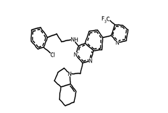 FC(F)(F)c1cccnc1-c1ccc2c(NCCc3ccccc3Cl)nc(CN3CCCC4CCCC=C43)nc2c1